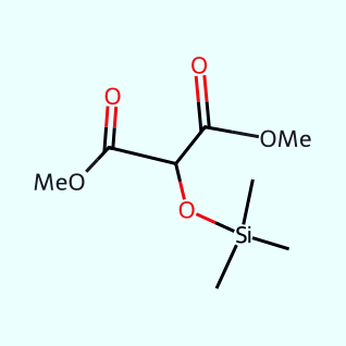 COC(=O)C(O[Si](C)(C)C)C(=O)OC